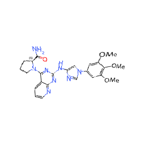 COc1cc(-n2cnc(Nc3nc(N4CCC[C@H]4C(N)=O)c4cccnc4n3)c2)cc(OC)c1OC